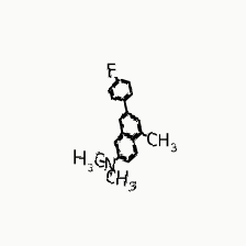 Cc1cc(-c2ccc(F)cc2)cc2cc(N(C)C)ccc12